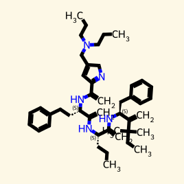 C=C(N[C@@H](CCc1ccccc1)C(=C)N[C@@H](CCC)C(=C)N[C@@H](Cc1ccccc1)C(=C)C(C)(C)CC)C1=NCC(CN(CCC)CCC)=C1